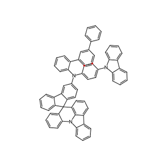 c1ccc(-c2cccc(-c3ccccc3N(c3ccc(-n4c5ccccc5c5ccccc54)cc3)c3ccc4c(c3)-c3ccccc3C43c4ccccc4-n4c5ccccc5c5cccc3c54)c2)cc1